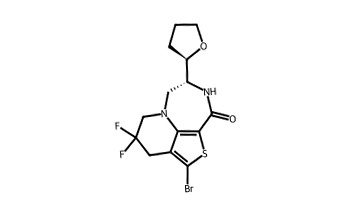 O=C1N[C@@H]([C@H]2CCCO2)CN2CC(F)(F)Cc3c(Br)sc1c32